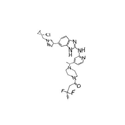 CC(c1ccnc(Nc2nc3ccc(-c4cnn(CC5(Cl)CC5)c4)cc3[nH]2)c1)N1CCN(C(=O)CC(F)(F)F)CC1